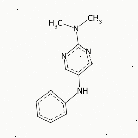 CN(C)c1ncc(Nc2ccccc2)cn1